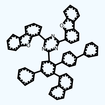 c1ccc(-c2ccc(-c3c(-c4nc(-c5cccc6c5oc5ccccc56)nc(-c5cccc6c5oc5ccccc56)n4)cc(-c4ccccc4)cc3-c3cccc4ccccc34)cc2)cc1